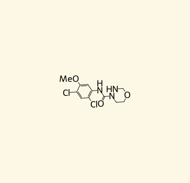 COc1cc(NC(=O)N2CCOCN2)c(Cl)cc1Cl